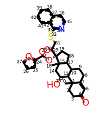 CC12CCC(=O)C=C1CCC1C2[C@@H](O)CC2(C)C1CC[C@]2(OC(=O)c1ccco1)C(=O)CSc1nccc2ccccc12